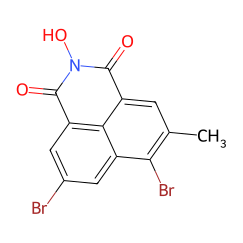 Cc1cc2c3c(cc(Br)cc3c1Br)C(=O)N(O)C2=O